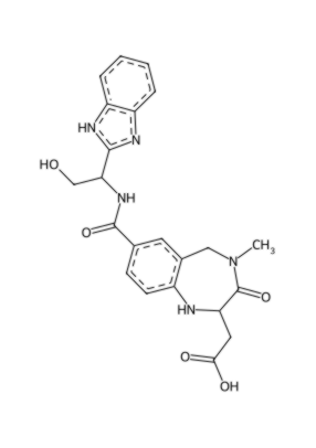 CN1Cc2cc(C(=O)NC(CO)c3nc4ccccc4[nH]3)ccc2NC(CC(=O)O)C1=O